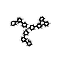 c1ccc2c(c1)oc1c(-c3ccc(N(c4ccc(-c5ccc6c7ccccc7c7ccccc7c6c5)cc4)c4ccc(-c5cccc6c5oc5ccccc56)cc4)cc3)cccc12